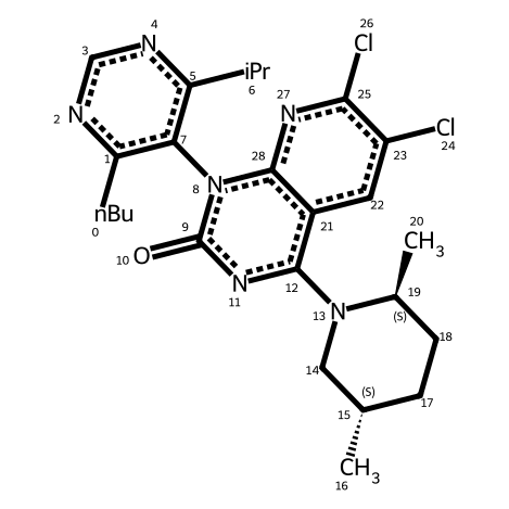 CCCCc1ncnc(C(C)C)c1-n1c(=O)nc(N2C[C@@H](C)CC[C@@H]2C)c2cc(Cl)c(Cl)nc21